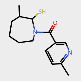 Cc1ccc(C(=O)N2CCCCC(C)C2S)cn1